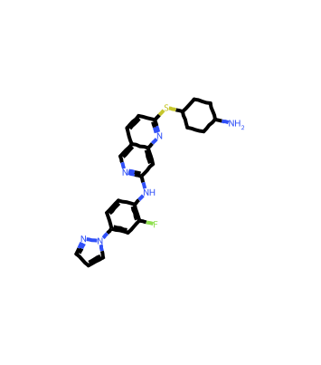 NC1CCC(Sc2ccc3cnc(Nc4ccc(-n5cccn5)cc4F)cc3n2)CC1